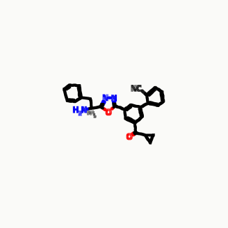 C[C@](N)(Cc1ccccc1)c1nnc(-c2cc(C(=O)C3CC3)cc(-c3ccccc3C#N)c2)o1